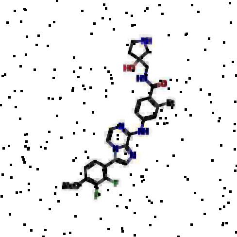 CCc1cc(Nc2nccn3c(-c4ccc(OC)c(F)c4F)cnc23)ccc1C(=O)NCC1(O)CCNC1